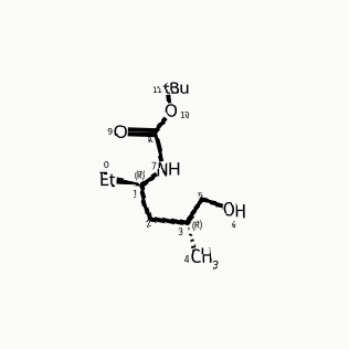 CC[C@H](C[C@@H](C)CO)NC(=O)OC(C)(C)C